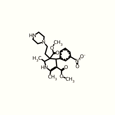 COC(=O)C1=C(C)NC(C)C(CCN2CCNCC2)(C(=O)OC)C1c1cccc([N+](=O)[O-])c1